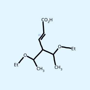 CCOC(C)C(/C=C/C(=O)O)C(C)OCC